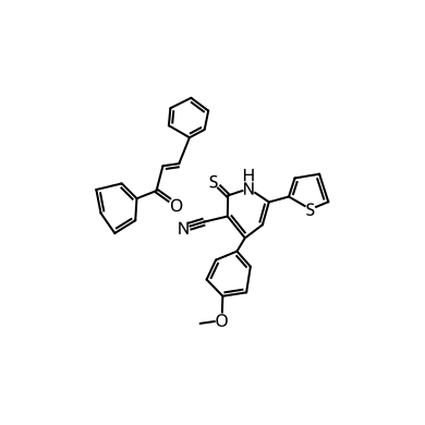 COc1ccc(-c2cc(-c3cccs3)[nH]c(=S)c2C#N)cc1.O=C(C=Cc1ccccc1)c1ccccc1